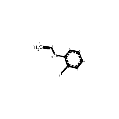 C=COc1ccccc1I